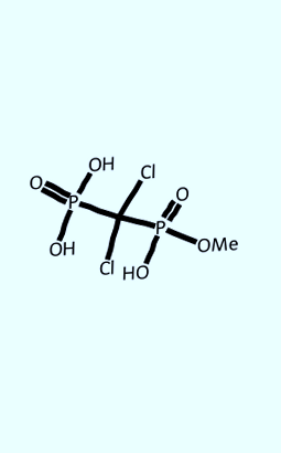 COP(=O)(O)C(Cl)(Cl)P(=O)(O)O